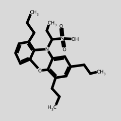 CCCc1cc(CCC)c2c(c1)N(C(CC)S(=O)(=O)O)c1c(CCC)cccc1O2